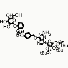 CC(C)(C)[Si](C)(C)OC[C@H]1O[C@@H](n2cnc3c(OCc4ccc(OS(=O)(=O)Oc5ccccc5OC5O[C@H](CO)[C@H](O)[C@H](O)[C@H]5O)cc4)nc(N)nc32)[C@@H](O[Si](C)(C)C(C)(C)C)C1O[Si](C)(C)C(C)(C)C